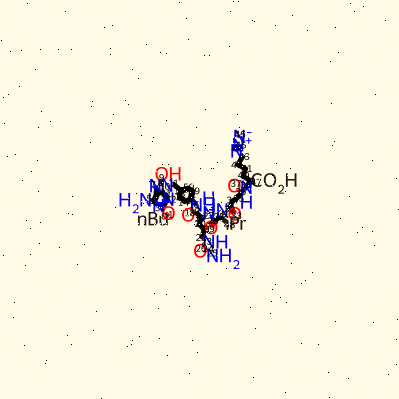 CCCCOc1nc(N)c2nc(O)n(Cc3ccc(NC(=O)C(CCCNC(N)=O)NC(=O)C(NC(=O)CCC(=O)NC(CCCCN=[N+]=[N-])C(=O)O)C(C)C)cc3)c2n1